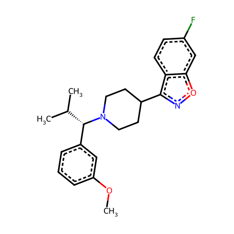 COc1cccc([C@H](C(C)C)N2CCC(c3noc4cc(F)ccc34)CC2)c1